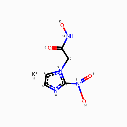 O=C(Cn1ccnc1[N+](=O)[O-])N[O-].[K+]